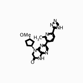 CO[C@H]1CC[C@H](N2CC(=O)Nc3ncc(-c4ccc(-c5nnc[nH]5)nc4C)nc32)C1